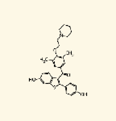 Cc1cc(C(=O)c2c(-c3ccc(O)cc3)sc3cc(O)ccc23)cc(C)c1OCCN1CCCCC1